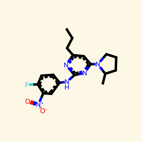 CCCc1cc(N2CCCC2C)nc(Nc2ccc(F)c([N+](=O)[O-])c2)n1